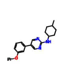 CC1CCC(Nc2ncc(-c3cccc(OC(C)C)c3)cn2)CC1